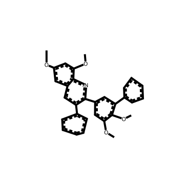 COc1cc(OC)c2nc(-c3cc(OC)c(OC)c(-c4ccccc4)c3)c(-c3ccccc3)cc2c1